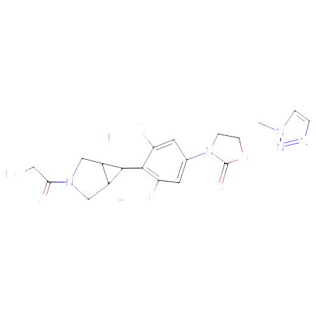 O=C(CO)N1C[C@@H]2C(c3c(F)cc(N4C[C@H](Cn5ccnn5)OC4=O)cc3F)[C@@H]2C1